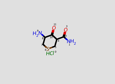 Cl.NC(=O)C1CSCC(N)C1=O